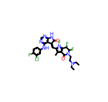 CCN(CC)CCN1C(=O)c2c(C)c(C=C3C(=O)Nc4ncnc(Nc5ccc(F)c(Cl)c5)c43)n(F)c2C(F)C1F